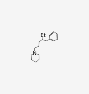 CCC(CCCN1CCCCC1)Cc1ccccc1